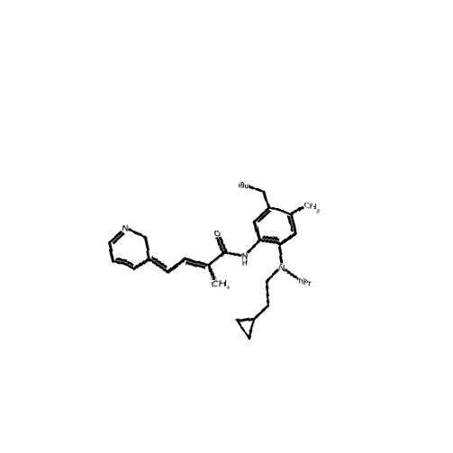 CCCN(CCC1CC1)c1cc(C)c(CC(C)CC)cc1NC(=O)/C(C)=C/C=C1/C=CC=NC1